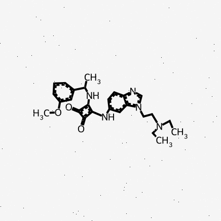 CCN(CC)CCn1cnc2ccc(Nc3c(NC(C)c4cccc(OC)c4)c(=O)c3=O)cc21